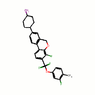 Fc1cc(OC(F)(F)c2ccc3c(c2F)OCc2cc(C4CCC(P)CC4)ccc2-3)ccc1C(F)(F)F